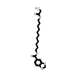 CCC(=O)OCCCCCCCCCCCOC(=O)c1ccc2c(c1)OCO2